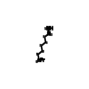 CCCCCCCCN=N